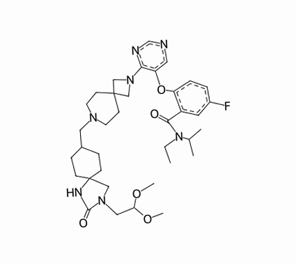 CCN(C(=O)c1cc(F)ccc1Oc1cncnc1N1CC2(CCN(CC3CCC4(CC3)CN(CC(OC)OC)C(=O)N4)CC2)C1)C(C)C